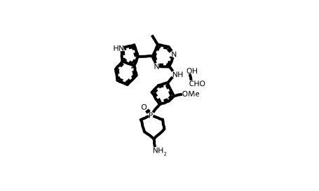 COc1cc(P2(=O)CCC(N)CC2)ccc1Nc1ncc(C)c(-c2c[nH]c3ccccc23)n1.O=CO